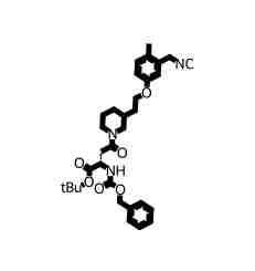 [C-]#[N+]Cc1cc(OCCC2CCCN(C(=O)C[C@H](NC(=O)OCc3ccccc3)C(=O)OC(C)(C)C)C2)ccc1C